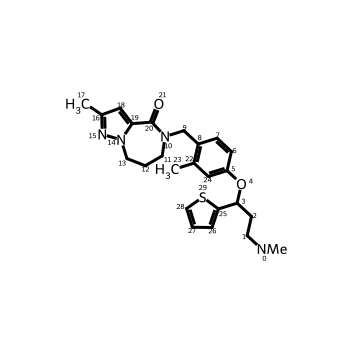 CNCCC(Oc1ccc(CN2CCCn3nc(C)cc3C2=O)c(C)c1)c1cccs1